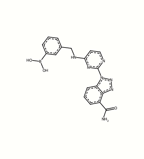 NC(=O)c1cccc2c1nnn2-c1nccc(NCc2cccc(B(O)O)c2)n1